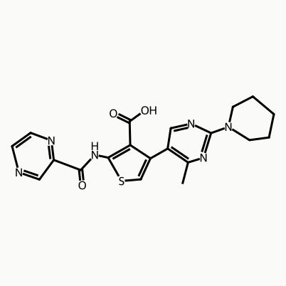 Cc1nc(N2CCCCC2)ncc1-c1csc(NC(=O)c2cnccn2)c1C(=O)O